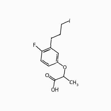 CC(Oc1ccc(F)c(CCCI)c1)C(=O)O